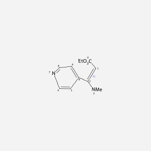 CCOC(=O)/C=C(/NC)c1ccncc1